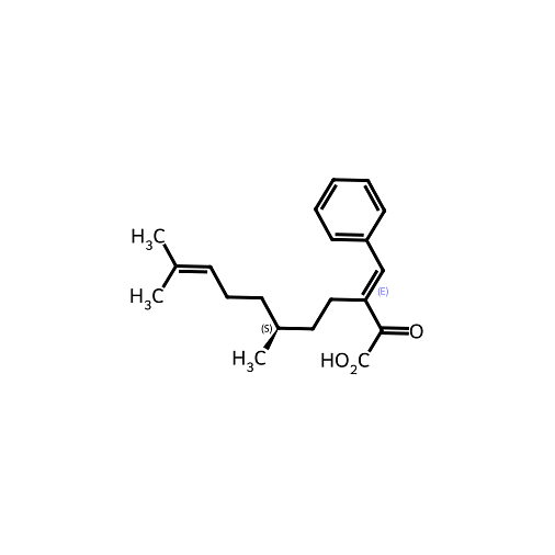 CC(C)=CCC[C@H](C)CC/C(=C\c1ccccc1)C(=O)C(=O)O